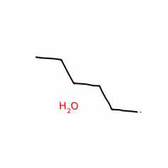 O.[CH2]CCCCC